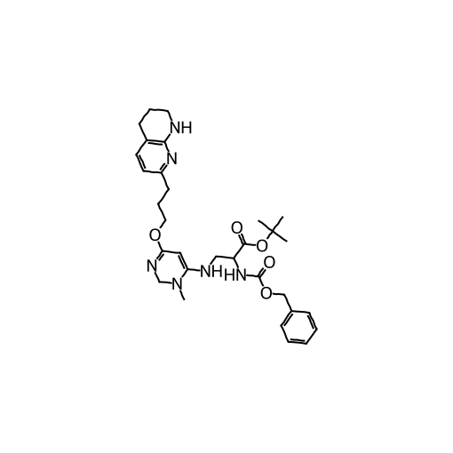 CN1CN=C(OCCCc2ccc3c(n2)NCCC3)C=C1NCC(NC(=O)OCc1ccccc1)C(=O)OC(C)(C)C